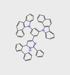 C1=C(c2cc(-n3c4ccccc4c4ccc5ccccc5c43)cc(-n3c4ccccc4c4ccc5ccccc5c43)c2)N=C(c2ccccc2)NC1c1ccccc1-c1ccccc1